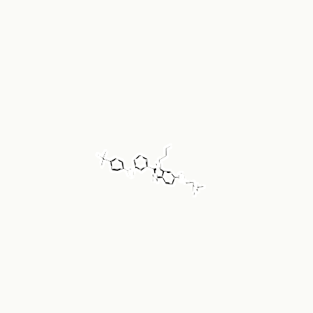 CCCCn1c(-c2cccc(Oc3ccc(C(C)(C)C)cc3)c2)nc2ccc(OCCN(C)C)cc21